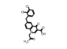 CC(=O)Cn1cc(C(=O)O)c(=O)c2cc(Cc3cccc(Cl)c3Cl)ccc21